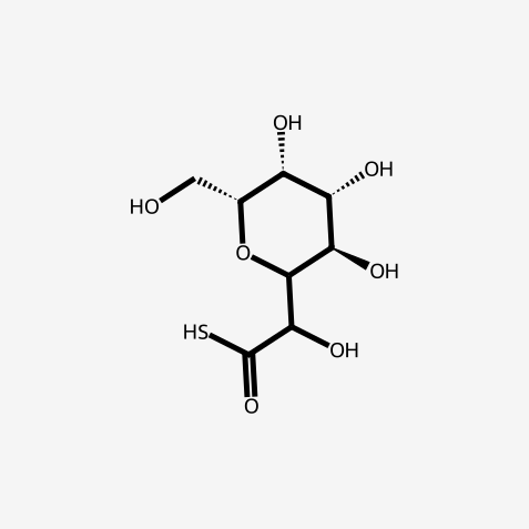 O=C(S)C(O)C1O[C@H](CO)[C@H](O)[C@H](O)[C@H]1O